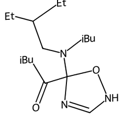 CCC(CC)CN(C(C)CC)C1(C(=O)C(C)CC)N=CNO1